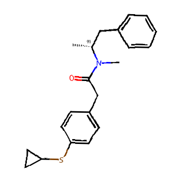 C[C@H](Cc1ccccc1)N(C)C(=O)Cc1ccc(SC2CC2)cc1